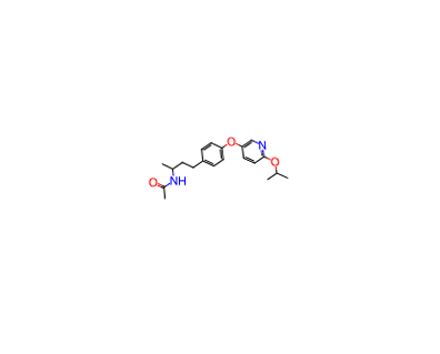 CC(=O)NC(C)CCc1ccc(Oc2ccc(OC(C)C)nc2)cc1